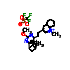 COc1nc(C=Cc2cc3ccccc3[n+](C)c2)c2c(n1)C1CC(C2)C1(C)C.O=S(=O)([O-])C(F)(F)F